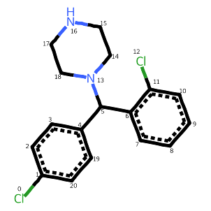 Clc1ccc(C(c2ccccc2Cl)N2CCNCC2)cc1